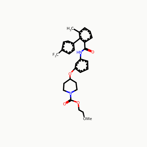 COCCOC(=O)N1CCC(Oc2cccc(NC(=O)c3cccc(C)c3-c3ccc(C(F)(F)F)cc3)c2)CC1